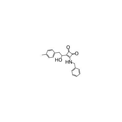 Cc1ccc(CC(O)c2c(NCc3ccccc3)c(=O)c2=O)cc1